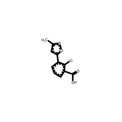 Cc1cc(-c2cccc(C(=O)O)c2Cl)on1